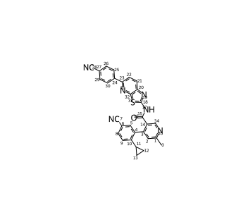 Cc1cc(-c2cc(C#N)ccc2C2CC2)c(C(=O)Nc2nc3ccc(-c4ccc(C#N)cc4)nc3s2)cn1